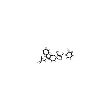 CC1(C(=O)N(F)Cc2ccccc2F)CCc2c(c3ccccc3n2CC(=O)O)C1